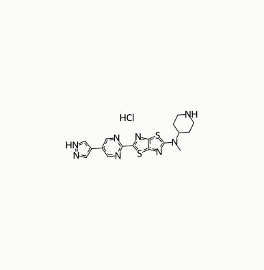 CN(c1nc2sc(-c3ncc(-c4cn[nH]c4)cn3)nc2s1)C1CCNCC1.Cl